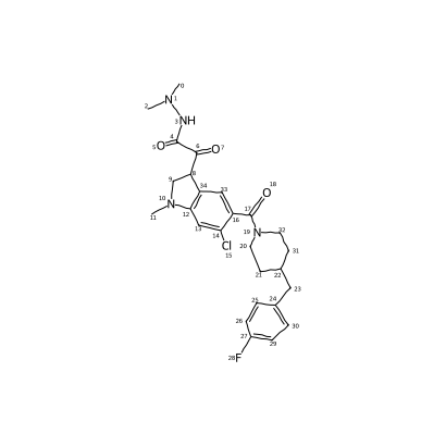 CN(C)NC(=O)C(=O)C1CN(C)c2cc(Cl)c(C(=O)N3CCC(Cc4ccc(F)cc4)CC3)cc21